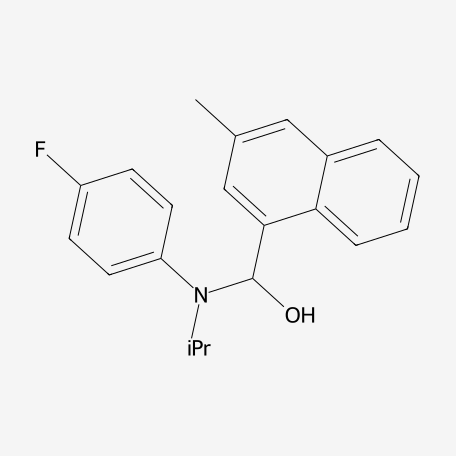 Cc1cc(C(O)N(c2ccc(F)cc2)C(C)C)c2ccccc2c1